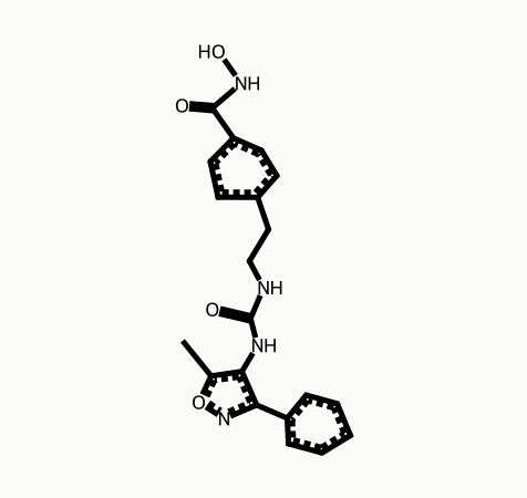 Cc1onc(-c2ccccc2)c1NC(=O)NCCc1ccc(C(=O)NO)cc1